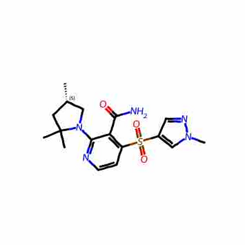 C[C@@H]1CN(c2nccc(S(=O)(=O)c3cnn(C)c3)c2C(N)=O)C(C)(C)C1